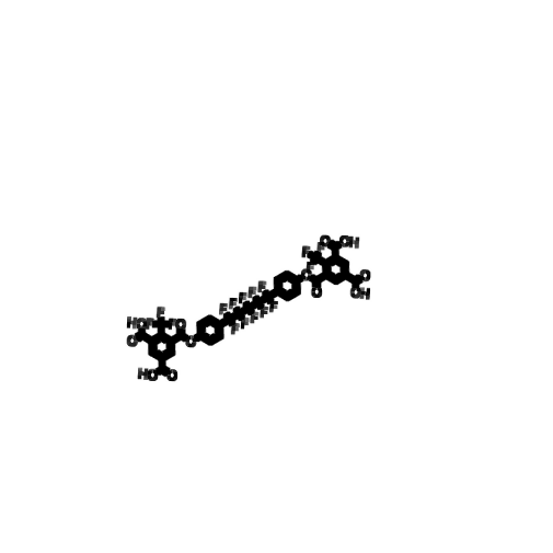 O=C(O)c1cc(C(=O)O)c(C(F)(F)F)c(C(=O)Oc2ccc(C(F)(F)C(F)(F)C(F)(F)C(F)(F)C(F)(F)c3ccc(OC(=O)c4cc(C(=O)O)cc(C(=O)O)c4C(F)(F)F)cc3)cc2)c1